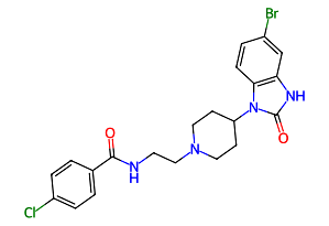 O=C(NCCN1CCC(n2c(=O)[nH]c3cc(Br)ccc32)CC1)c1ccc(Cl)cc1